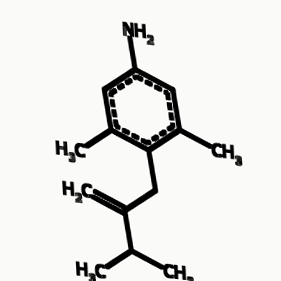 C=C(Cc1c(C)cc(N)cc1C)C(C)C